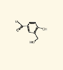 CCC(=O)c1ccc(O)c(CO)c1